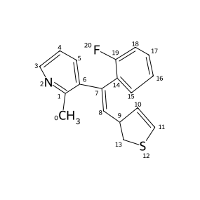 Cc1ncccc1C(=CC1C=CSC1)c1ccccc1F